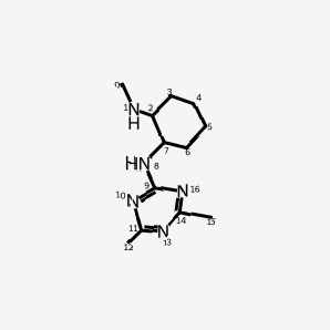 CNC1CCCCC1Nc1nc(C)nc(C)n1